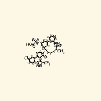 CC1CCC[C@H](n2cnc(-c3cc(Cl)ccc3-n3cc(C(F)(F)F)nn3)cc2=O)c2cc(ccn2)-c2ccncc2NC1=O.O=C(O)C(F)(F)F